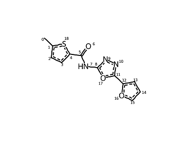 Cc1ccc(C(=O)Nc2nnc(-c3ccco3)o2)s1